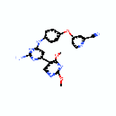 COc1ncc(-c2cc(Nc3ccc(Oc4ccnc(C#N)c4)cc3)nc(N)n2)c(OC)n1